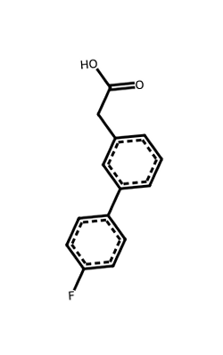 O=C(O)Cc1cccc(-c2ccc(F)cc2)c1